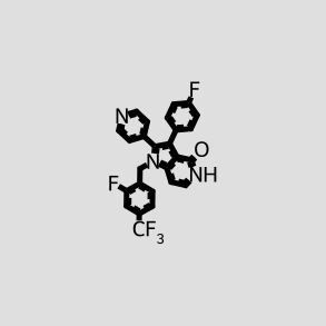 O=c1[nH]ccc2c1c(-c1ccc(F)cc1)c(-c1ccncc1)n2Cc1ccc(C(F)(F)F)cc1F